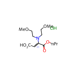 CCCOC(=O)/C(=C/C(=O)O)N(CCOC)CCOC.Cl